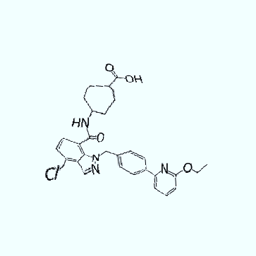 CCOc1cccc(-c2ccc(Cn3ncc4c(Cl)ccc(C(=O)NC5CCC(C(=O)O)CC5)c43)cc2)n1